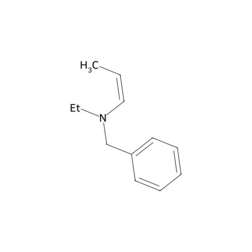 C/C=C\N(CC)Cc1ccccc1